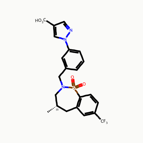 C[C@H]1Cc2cc(C(F)(F)F)ccc2S(=O)(=O)N(Cc2cccc(-n3cc(C(=O)O)cn3)c2)C1